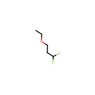 [CH2]COCCC(F)F